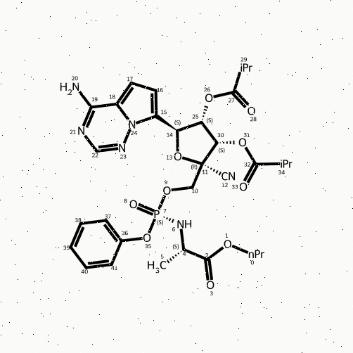 CCCOC(=O)[C@H](C)N[P@](=O)(OC[C@@]1(C#N)O[C@@H](c2ccc3c(N)ncnn23)[C@H](OC(=O)C(C)C)[C@@H]1OC(=O)C(C)C)Oc1ccccc1